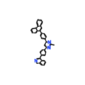 Cc1nc(-c2ccc(-c3cncc4ccccc34)cc2)cc(-c2ccc(-c3cc4ccccc4c4ccccc34)cc2)n1